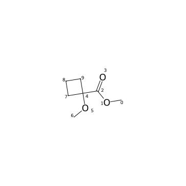 COC(=O)C1(OC)CCC1